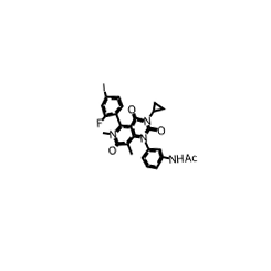 CC(=O)Nc1cccc(-n2c(=O)n(C3CC3)c(=O)c3c(-c4ccc(I)cc4F)n(C)c(=O)c(C)c32)c1